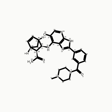 CN1CCN(C(=O)c2cccc(-c3nc4c(N[C@H]5[C@@H](C(N)=O)[C@@H]6C=C[C@H]5C6)c(Cl)cnc4[nH]3)c2)CC1